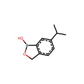 CC(C)c1ccc2c(c1)B(O)OC2